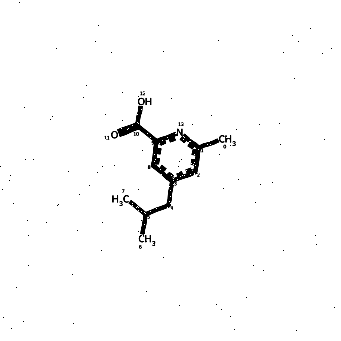 Cc1cc(CC(C)C)cc(C(=O)O)n1